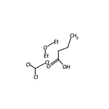 CCCC(=O)O.CCOCC.ClC(Cl)Cl